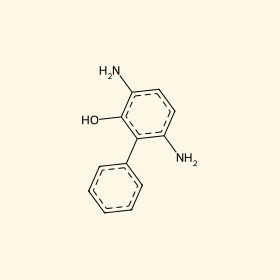 Nc1ccc(N)c(-c2ccccc2)c1O